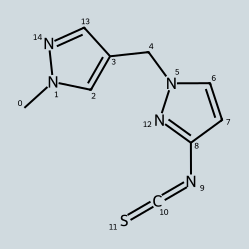 Cn1cc(Cn2ccc(N=C=S)n2)cn1